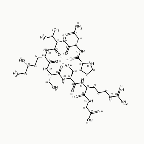 C[C@@H](O)[C@H](NC(=O)[C@H](CC(N)=O)NC(=O)[C@@H]1CCCN1)C(=O)N[C@@H](CC[C@@H](O)CN)C(=O)N[C@@H](CO)C(=O)N[C@@H](CS)C(=O)N[C@@H](CCCNC(=N)N)C(=O)NCC(=O)O